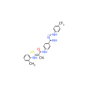 Cc1ccccc1N/C(S)=C(\C#N)C(=O)Nc1ccc(C(=N)/N=C\Nc2ccc(C(F)(F)F)cc2)cc1